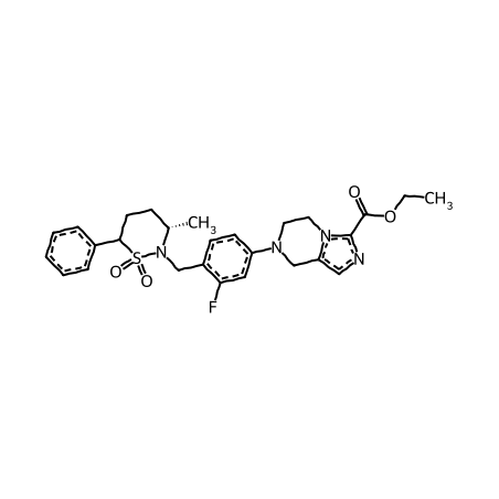 CCOC(=O)c1ncc2n1CCN(c1ccc(CN3[C@@H](C)CCC(c4ccccc4)S3(=O)=O)c(F)c1)C2